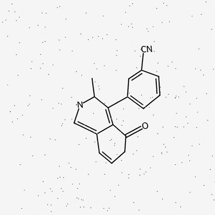 CC1[N]C=C2C=CCC(=O)C2=C1c1cccc(C#N)c1